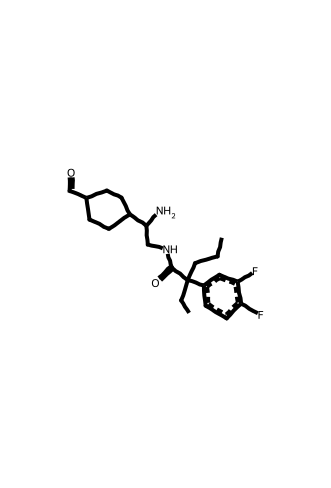 CCCC(CC)(C(=O)NCC(N)C1CCC(C=O)CC1)c1ccc(F)c(F)c1